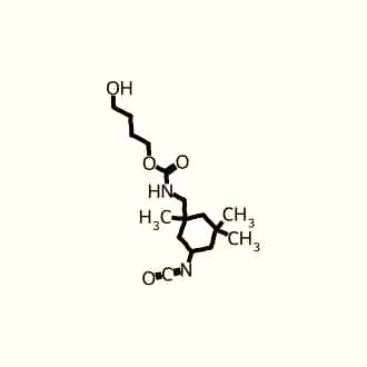 CC1(C)CC(N=C=O)CC(C)(CNC(=O)OCCCCO)C1